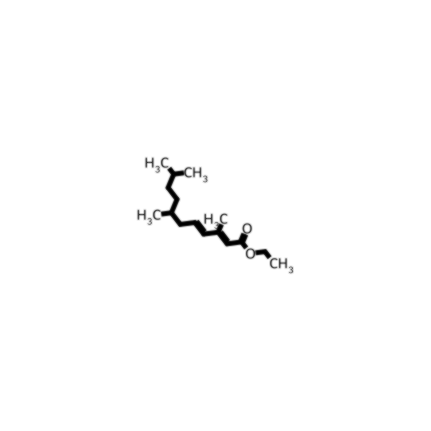 CCOC(=O)/C=C(C)/C=C/CC(C)CCC(C)C